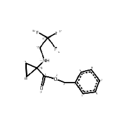 O=C(OCc1ccccc1)C1(NCC(F)(F)F)CC1